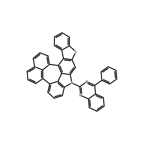 c1ccc(-c2nc(-n3c4cccc5c4c4c(c6c(cc43)sc3ccccc36)-c3cccc4cccc-5c34)nc3ccccc23)cc1